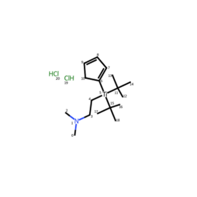 CN(C)C[CH2][Ti]([C]1=CC=CC1)([C](C)(C)C)[C](C)(C)C.Cl.Cl